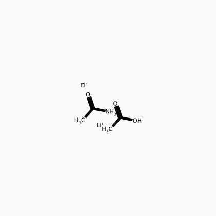 CC(=O)O.CC(N)=O.[Cl-].[Li+]